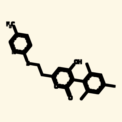 Cc1cc(C)c(-c2c(O)cc(CCSc3ccc(C(F)(F)F)cn3)oc2=O)c(C)c1